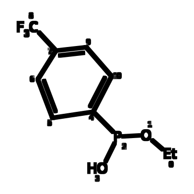 CCOP(O)c1ccc(C(F)(F)F)cc1